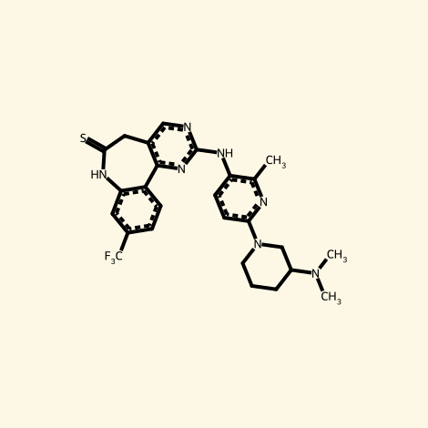 Cc1nc(N2CCCC(N(C)C)C2)ccc1Nc1ncc2c(n1)-c1ccc(C(F)(F)F)cc1NC(=S)C2